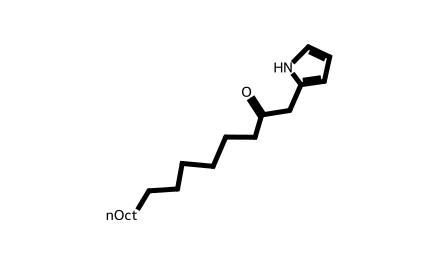 CCCCCCCCCCCCCCC(=O)Cc1ccc[nH]1